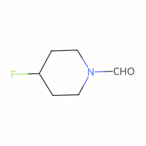 O=CN1CCC(F)CC1